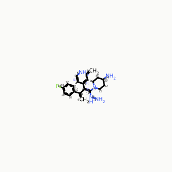 C=C/C=C(\C=C/N)C(/C(=C)c1ccc(F)cc1)=C(/NN)N1CCC(N)CC1